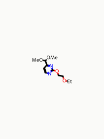 CCOCCOc1nccc(C(OC)OC)n1